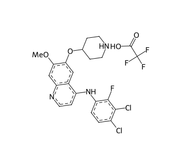 COc1cc2nccc(Nc3ccc(Cl)c(Cl)c3F)c2cc1OC1CCNCC1.O=C(O)C(F)(F)F